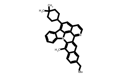 Cc1c2ccc(CC(C)(C)C)cc2cc2c3nccc4cc(C5CCC(C)(C)CC5)c5c6ccccc6n(c12)c5c43